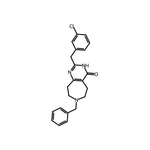 O=c1[nH]c(Cc2cccc(Cl)c2)nc2c1CCN(Cc1ccccc1)CC2